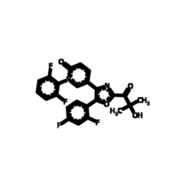 CC(C)(O)C(=O)c1nc(-c2ccc(=O)n(-c3c(F)cccc3F)c2)c(-c2ccc(F)cc2F)o1